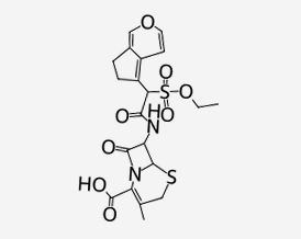 CCOS(=O)(=O)C(C(=O)NC1C(=O)N2C(C(=O)O)=C(C)CSC12)C1=C2C=COC=C2CC1